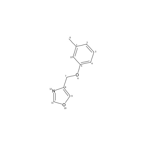 Cc1cccc(OCc2cocn2)c1